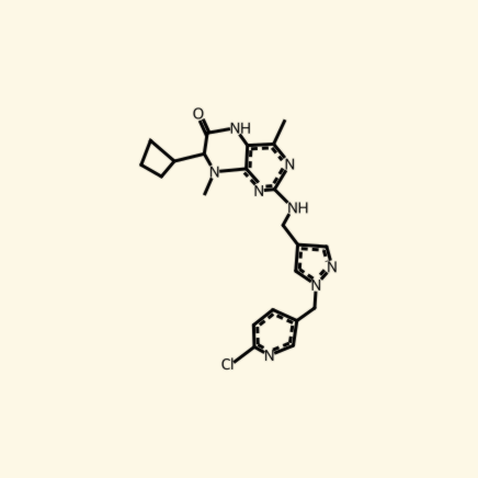 Cc1nc(NCc2cnn(Cc3ccc(Cl)nc3)c2)nc2c1NC(=O)C(C1CCC1)N2C